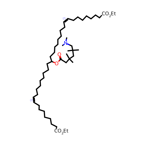 CCOC(=O)CCCCCCC/C=C\CCCCCCCCC(CCCCCCCC/C=C\CCCCCCCC(=O)OCC)OC(=O)CC(C)(C)CC(C)(C)CN(C)C